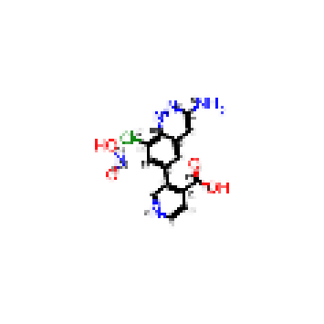 Nc1cc2cc(-c3cnccc3C(=O)O)cc(Cl)c2nn1.O=NO